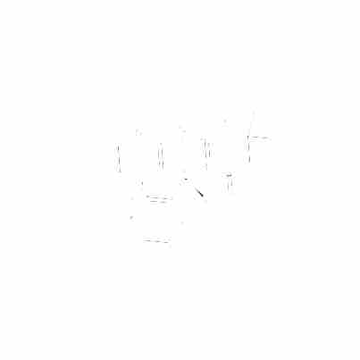 CC1(C)CC(=O)C2=C(C1)Nc1ncc(C(F)(F)F)c(F)c1[C@@]2(C)c1ccccc1